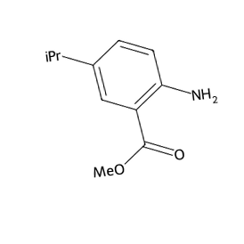 COC(=O)c1cc(C(C)C)ccc1N